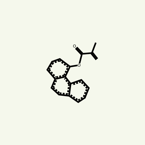 C=C(C)C(=O)Oc1cccc2ccc3ccccc3c12